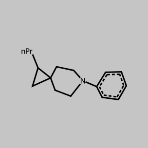 CCCC1CC12CCN(c1ccccc1)CC2